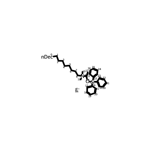 CCCCCCCCCCCCCCCCCC[N+](C)(C)C(C)O[Si](c1ccccc1)(c1ccccc1)c1ccccc1.[F-]